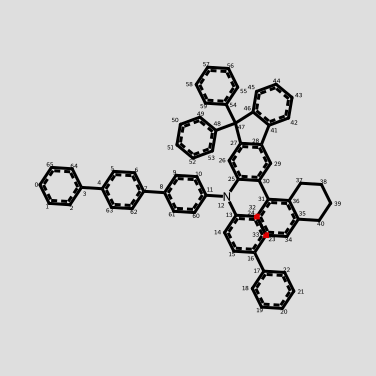 c1ccc(-c2ccc(-c3ccc(N(c4ccc(-c5ccccc5)cc4)c4cc5c(cc4-c4cccc6c4CCCC6)-c4ccccc4C5(c4ccccc4)c4ccccc4)cc3)cc2)cc1